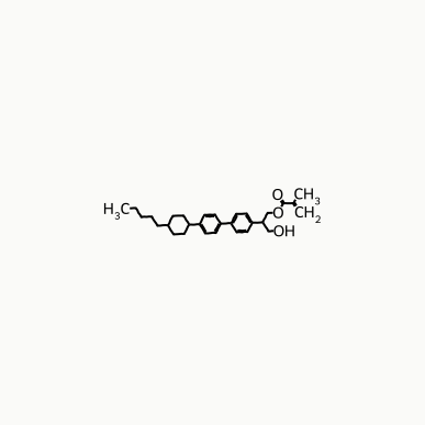 C=C(C)C(=O)OCC(CO)c1ccc(-c2ccc(C3CCC(CCCCC)CC3)cc2)cc1